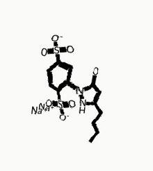 CCCCc1cc(=O)n(-c2cc(S(=O)(=O)[O-])ccc2S(=O)(=O)[O-])[nH]1.[Na+].[Na+]